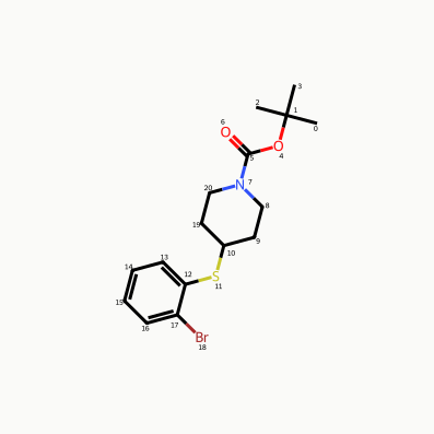 CC(C)(C)OC(=O)N1CCC(Sc2ccccc2Br)CC1